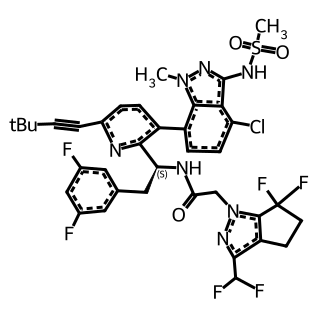 Cn1nc(NS(C)(=O)=O)c2c(Cl)ccc(-c3ccc(C#CC(C)(C)C)nc3[C@H](Cc3cc(F)cc(F)c3)NC(=O)Cn3nc(C(F)F)c4c3C(F)(F)CC4)c21